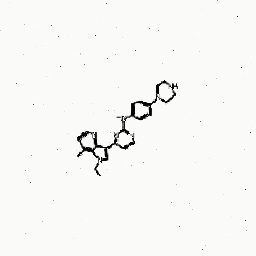 CCn1cc(-c2ccnc(Nc3ccc(N4CCNCC4)cc3)n2)c2nccc(C)c21